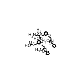 Cc1oc(C2CCCC2)nc1CCOc1cccc(CSC(C(=O)O)C(N)CN)c1.Cc1oc(C2CCCC2)nc1CCOc1cccc(CSCC(=O)O)c1